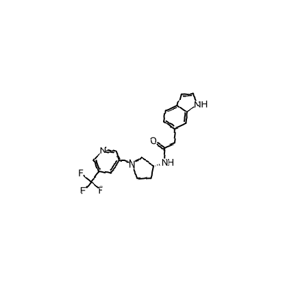 O=C(Cc1ccc2cc[nH]c2c1)N[C@@H]1CCN(c2cncc(C(F)(F)F)c2)C1